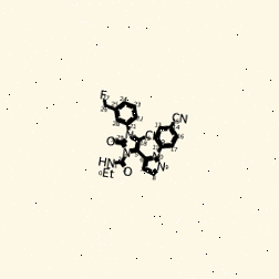 CCNC(=O)n1c(-c2ccnn2-c2ccc(C#N)cc2)c(C)n(-c2cccc(CF)c2)c1=O